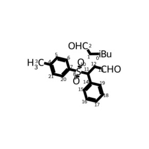 CCC(C)CC=O.Cc1ccc(S(=O)(=O)C(CC=O)c2ccccc2)cc1